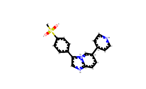 CS(=O)(=O)c1ccc(-c2cnc3ccc(-c4ccncc4)cn23)cc1